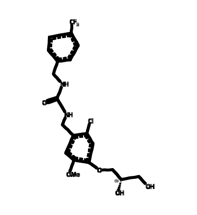 COc1cc(CNC(=O)NCc2ccc(C(F)(F)F)cc2)c(Cl)cc1OC[C@@H](O)CO